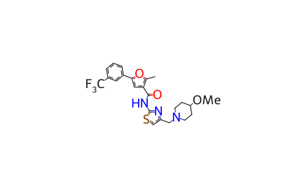 COC1CCN(Cc2csc(NC(=O)c3cc(-c4cccc(C(F)(F)F)c4)oc3C)n2)CC1